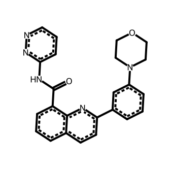 O=C(Nc1cccnn1)c1cccc2ccc(-c3cccc(N4CCOCC4)c3)nc12